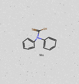 S=C(S)N(c1ccccc1)c1ccccc1.[Mo]